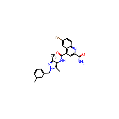 Cc1cccc(Cn2nc(C(F)(F)F)c(NC(=O)c3cc(C(N)=O)nc4ccc(Br)cc34)c2C)c1